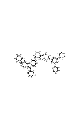 c1ccc(-c2nc(-c3ccccc3)nc(-c3ccc4c(c3)sc3c(-c5ccc6c(c5)c5c7sc8ccccc8c7ccc5n6-c5ccccc5)cccc34)n2)cc1